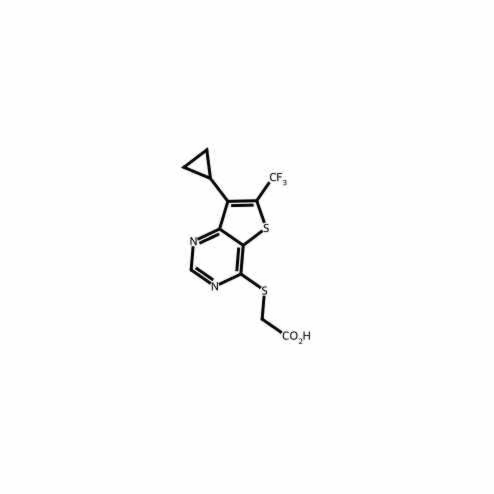 O=C(O)CSc1ncnc2c(C3CC3)c(C(F)(F)F)sc12